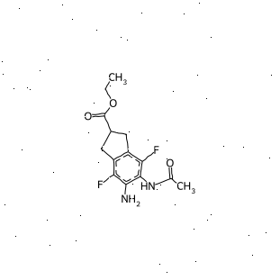 CCOC(=O)C1Cc2c(F)c(N)c(NC(C)=O)c(F)c2C1